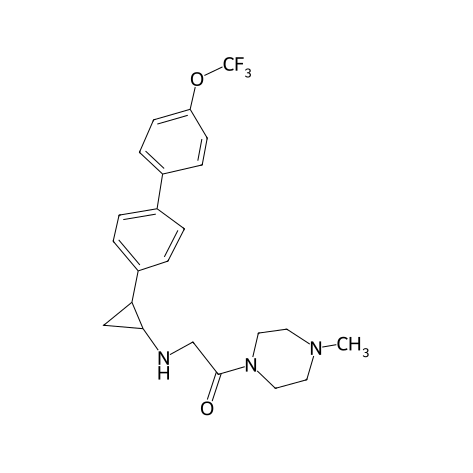 CN1CCN(C(=O)CNC2CC2c2ccc(-c3ccc(OC(F)(F)F)cc3)cc2)CC1